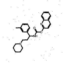 Cc1cccc(C(CCN2CCCCC2)NC(=O)Oc2ccc3ccccc3n2)c1